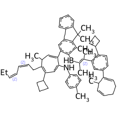 CC/C=C\C=C/CC1=C(C2CCC2)C=C(Nc2ccc(C)cc2)C(c2cc3c(c(C)c2B/C(C)=C(\C)c2cc(C4=CCCC=CC4C)ccc2C2CCC2)C(C)(C)c2ccccc2-3)=CC1C